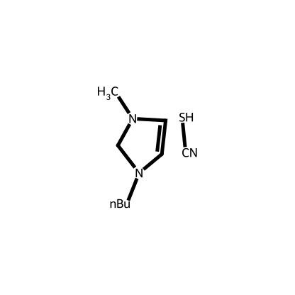 CCCCN1C=CN(C)C1.N#CS